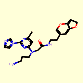 Cc1cc(N(CCCN)CC(=O)NCCC2=COC3=CCOC3=C2)nc(-n2ccnc2)n1